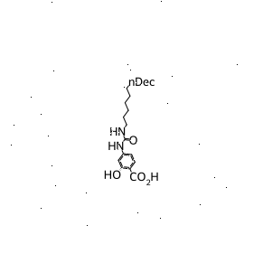 CCCCCCCCCCCCCCCCNC(=O)Nc1ccc(C(=O)O)c(O)c1